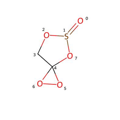 O=S1OCC2(OO2)O1